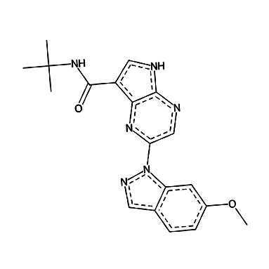 COc1ccc2cnn(-c3cnc4[nH]cc(C(=O)NC(C)(C)C)c4n3)c2c1